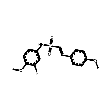 COc1ccc(C=CS(=O)(=O)Nc2ccc(OC)c(F)c2)cc1